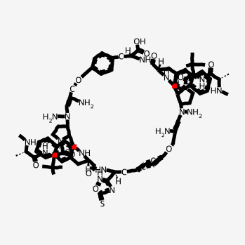 CN[C@@H](C)C(=O)NC(C(=O)N1CCC2C1C(=O)N[C@@H](Cc1ccc3ccccc3c1)C(=O)N[C@H](C(=O)O)Cc1ccc(cc1)OC/C(N)=C/N(N)C1CCN(C(=O)[C@@H](NC(=O)[C@H](C)NC)C(C)(C)C)C1C(=O)N[C@@H](Cc1ccc3ccccc3c1)C(=O)N[C@H](c1nc(=S)o[nH]1)Cc1ccc(cc1)OC/C(N)=C/N2N)C(C)(C)C